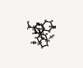 COc1nc2c(c(N3[C@@H]4CC[C@H]3C[C@@H](OC)C4)n1)CNCC2